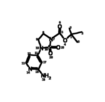 CC(C)(C)OC(=O)N1CCN(c2ccnc(N)c2)S1(=O)=O